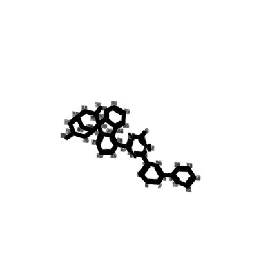 Cc1nc(-c2cccc(-c3ccccc3)c2)nc(-c2cccc3c2-c2ccccc2C32C(C)CC3CC(C)CC2C3)n1